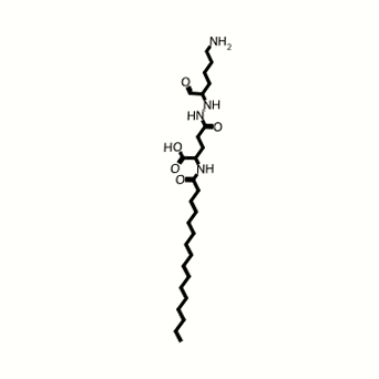 CCCCCCCCCCCCCCCC(=O)NC(CCC(=O)NNC(C=O)CCCCN)C(=O)O